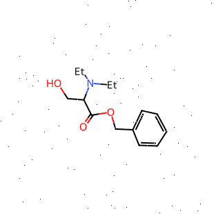 CCN(CC)C(CO)C(=O)OCc1ccccc1